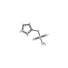 CS(=O)(=O)Cc1ccon1